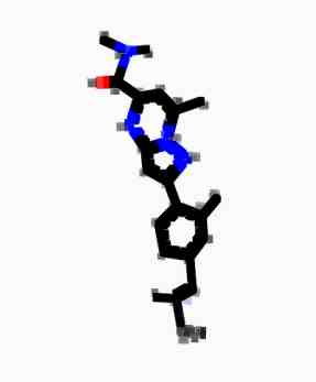 C/C(=C\c1ccc(-c2cc3nc(C(=O)N(C)C)cc(C)n3n2)c(C)c1)C(=O)O